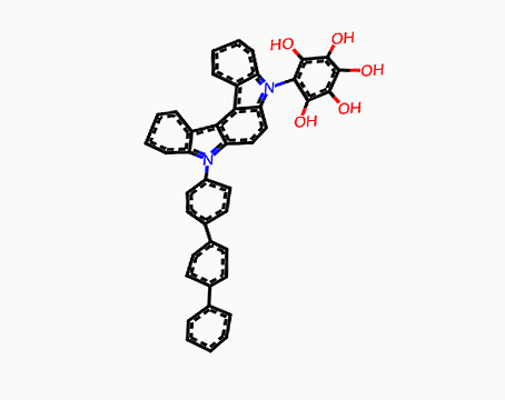 Oc1c(O)c(O)c(-n2c3ccccc3c3c4c5ccccc5n(-c5ccc(-c6ccc(-c7ccccc7)cc6)cc5)c4ccc32)c(O)c1O